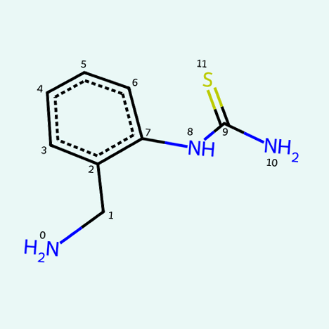 NCc1ccccc1NC(N)=S